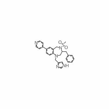 CS(=O)(=O)N1Cc2cc(-c3ccncc3)ccc2N(Cc2c[nH]cn2)CC1Cc1ccccc1